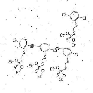 CCOP(=S)(OCC)SCSc1cc(Cl)ccc1Cl.CCOP(=S)(OCC)SCSc1cc(Cl)ccc1Cl.CCOP(=S)(OCC)SCSc1cc(Cl)ccc1Cl.CCOP(=S)(OCC)SCSc1cc(Cl)ccc1Cl